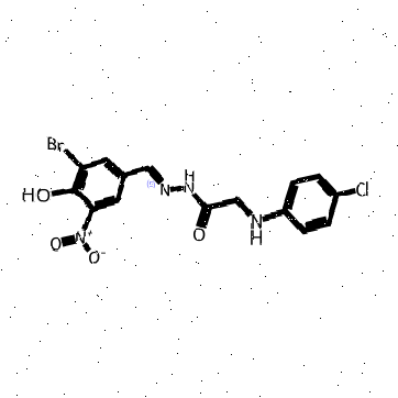 O=C(CNc1ccc(Cl)cc1)N/N=C/c1cc(Br)c(O)c([N+](=O)[O-])c1